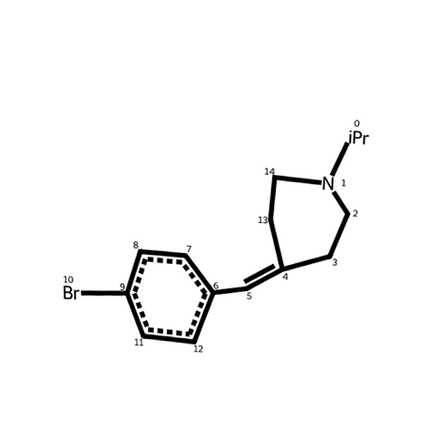 CC(C)N1CCC(=Cc2ccc(Br)cc2)CC1